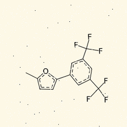 Cc1ccc(-c2cc(C(F)(F)F)cc(C(F)(F)F)c2)o1